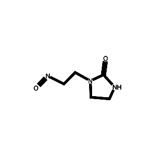 O=NCCN1CCNC1=O